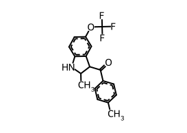 Cc1ccc(C(=O)C2c3cc(OC(F)(F)F)ccc3NC2C)cc1